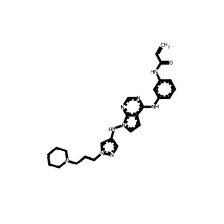 C=CC(=O)Nc1cccc(Nc2ncnc3c2ccn3Nc2cnn(CCCN3CCCCC3)c2)c1